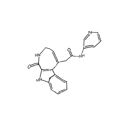 O=C(CC1=CCNC(=O)c2[nH]c3ccccc3c21)Nc1cccnc1